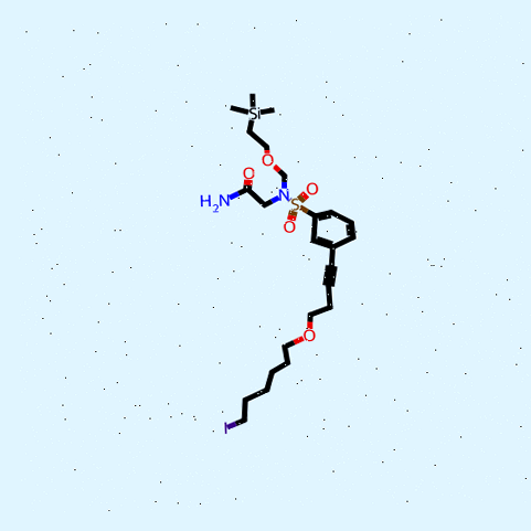 C[Si](C)(C)CCOCN(CC(N)=O)S(=O)(=O)c1cccc(C#CCCOCCCCCCI)c1